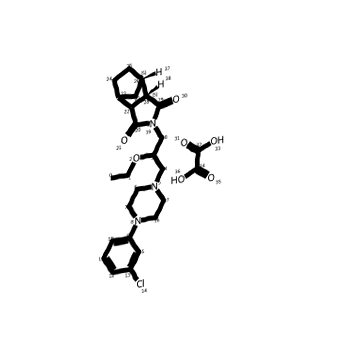 CCOC(CN1CCN(c2cccc(Cl)c2)CC1)CN1C(=O)C2C3CC[C@@H](C3)[C@@H]2C1=O.O=C(O)C(=O)O